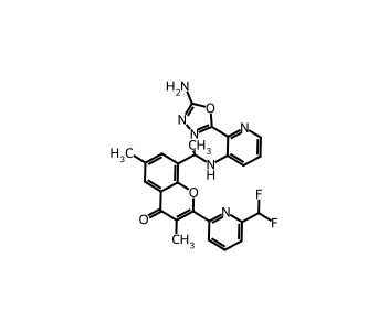 Cc1cc([C@@H](C)Nc2cccnc2-c2nnc(N)o2)c2oc(-c3cccc(C(F)F)n3)c(C)c(=O)c2c1